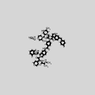 CN[C@@H](C)C(=O)N[C@H](C(=O)N1Cc2ccc(NC(=O)c3ccc(N(C(=O)CN4C[C@@H](C)NC[C@@H]4CN4CCOC[C@H]4C)C(=O)C4(C)CNc5cc(Cc6ccc(F)cc6)ccc54)cc3)cc2[C@H]1C(=O)Nc1c(F)cccc1F)C1CCOCC1.Cl.Cl.Cl